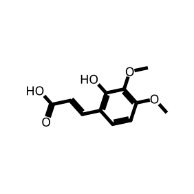 COc1ccc(C=CC(=O)O)c(O)c1OC